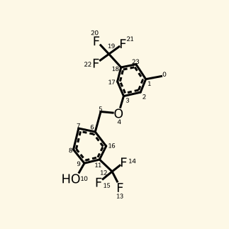 Cc1cc(OCc2ccc(O)c(C(F)(F)F)c2)cc(C(F)(F)F)c1